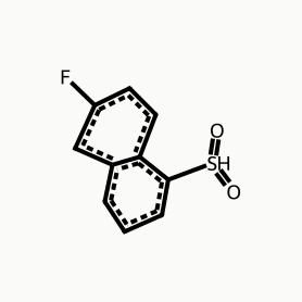 O=[SH](=O)c1cccc2cc(F)ccc12